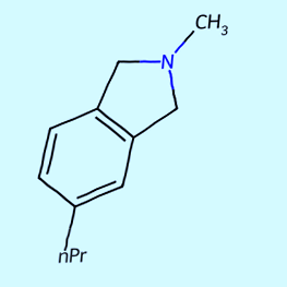 CCCc1ccc2c(c1)CN(C)C2